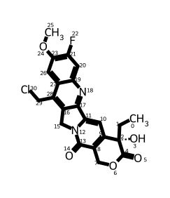 CC[C@@]1(O)C(=O)OCc2c1cc1n(c2=O)Cc2c-1nc1cc(F)c(OC)cc1c2CCl